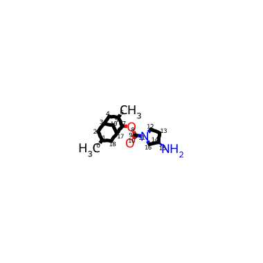 CC1CC2CC(C)C(OC(=O)N3CC[C@@H](N)C3)C(C1)C2